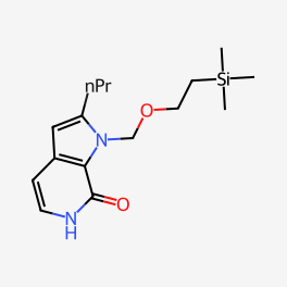 CCCc1cc2cc[nH]c(=O)c2n1COCC[Si](C)(C)C